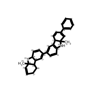 CC12C=C(c3ccccc3)C=CC1c1cc(C3=CC4C(C=C3)SC3(C)C=CCCC43)ccc1N2